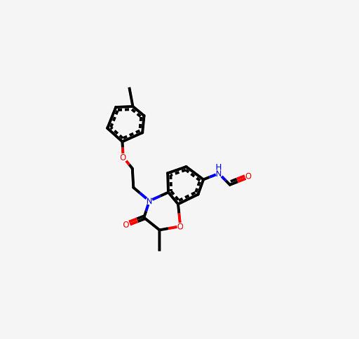 Cc1ccc(OCCN2C(=O)C(C)Oc3cc(NC=O)ccc32)cc1